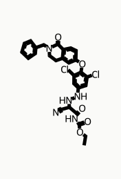 CCOC(=O)NC(=O)C(C#N)NNc1cc(Cl)c(Oc2ccc3c(c2)CCN(Cc2ccccc2)C3=O)c(Cl)c1